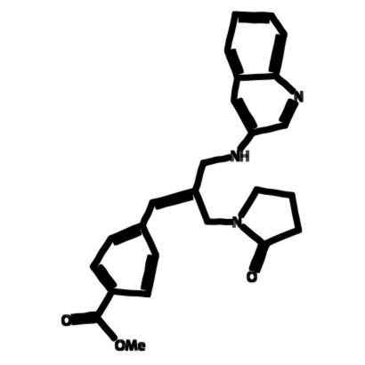 COC(=O)c1ccc(C=C(CNc2cnc3ccccc3c2)CN2CCCC2=O)cc1